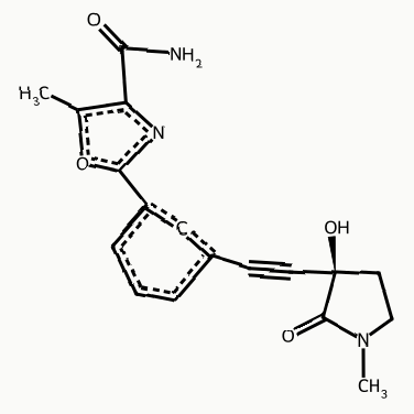 Cc1oc(-c2cccc(C#C[C@]3(O)CCN(C)C3=O)c2)nc1C(N)=O